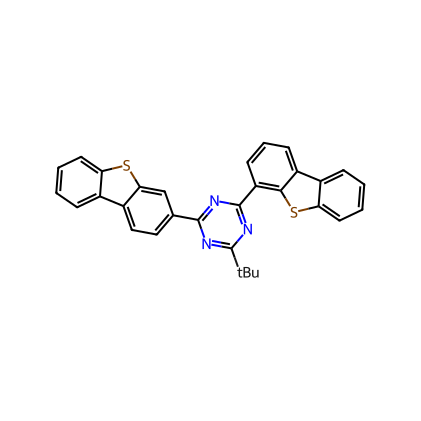 CC(C)(C)c1nc(-c2ccc3c(c2)sc2ccccc23)nc(-c2cccc3c2sc2ccccc23)n1